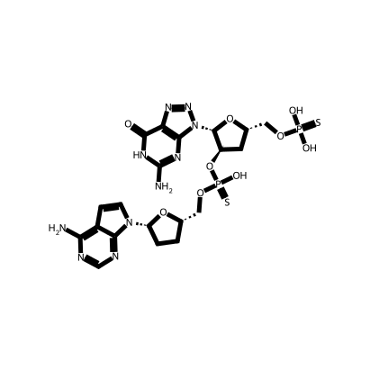 Nc1nc2c(nnn2[C@@H]2O[C@H](COP(O)(O)=S)C[C@H]2OP(O)(=S)OC[C@@H]2CC[C@H](n3ccc4c(N)ncnc43)O2)c(=O)[nH]1